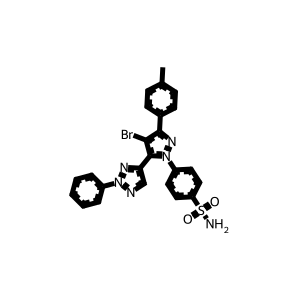 Cc1ccc(-c2nn(-c3ccc(S(N)(=O)=O)cc3)c(-c3cnn(-c4ccccc4)n3)c2Br)cc1